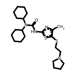 Cc1nc(NC(=O)N(C2CCCCC2)C2CCCCC2)sc1SCCN1CCCC1